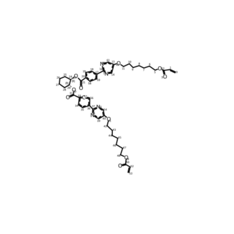 C=CC(=O)OCCCCCCCOc1cnc(-c2ccc(C(=O)O[C@@H]3CCCC[C@H]3OC(=O)c3ccc(-c4ncc(OCCCCCCCOC(=O)C=C)cn4)cc3)cc2)nc1